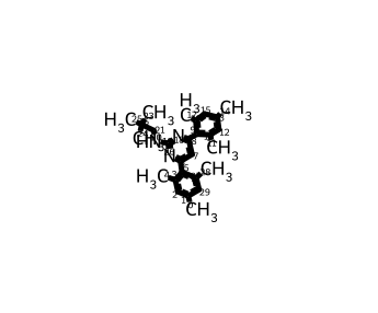 Cc1cc(C)c(-c2cc(-c3c(C)cc(C)cc3C)nc(NCC(C)(C)C)n2)c(C)c1